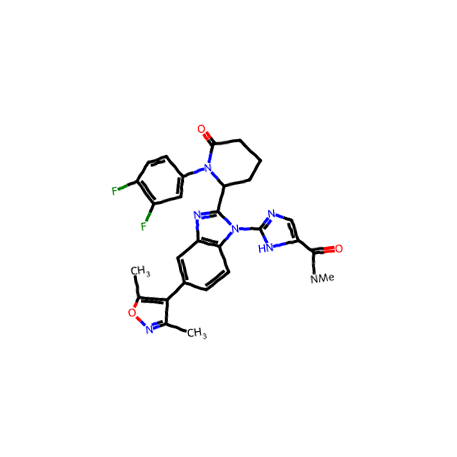 CNC(=O)c1cnc(-n2c(C3CCCC(=O)N3c3ccc(F)c(F)c3)nc3cc(-c4c(C)noc4C)ccc32)[nH]1